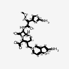 CON=C(C(=O)NC1C(=O)N2C(C(=O)[O-])=C(C[n+]3ccc4sc(N)cc4c3)CS[C@@H]12)c1csc(N)n1